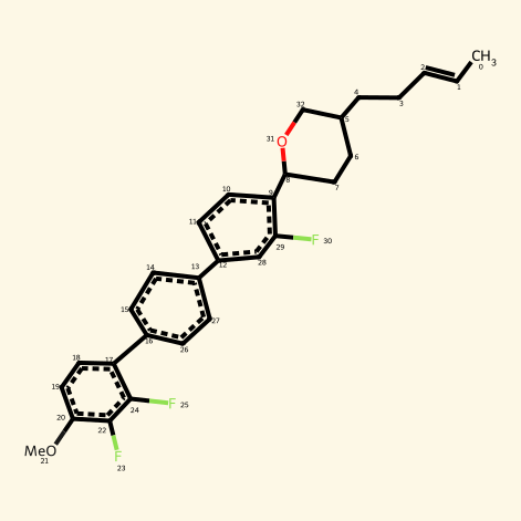 C/C=C/CCC1CCC(c2ccc(-c3ccc(-c4ccc(OC)c(F)c4F)cc3)cc2F)OC1